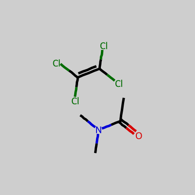 CC(=O)N(C)C.ClC(Cl)=C(Cl)Cl